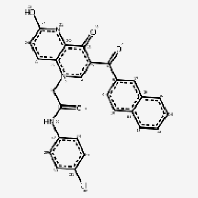 O=C(Cn1cc(C(=O)c2ccc3ccccc3c2)c(=O)c2nc(O)ccc21)Nc1ccc(Cl)cc1